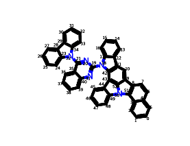 c1ccc2c(c1)ccc1c3cc4c5ccccc5n(-c5nc(-n6c7ccccc7c7ccccc76)c6ccccc6n5)c4c4c5ccccc5n(c21)c34